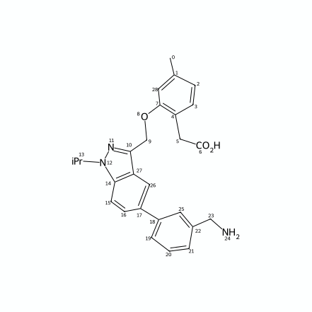 Cc1ccc(CC(=O)O)c(OCc2nn(C(C)C)c3ccc(-c4cccc(CN)c4)cc23)c1